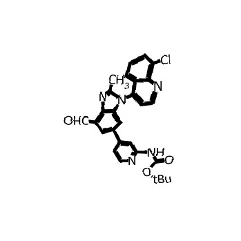 Cc1nc2c(C=O)cc(-c3ccnc(NC(=O)OC(C)(C)C)c3)cc2n1-c1ccnc2c(Cl)cccc12